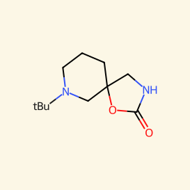 CC(C)(C)N1CCCC2(CNC(=O)O2)C1